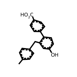 Cc1ccc(Cc2cc(O)ccc2-c2ccc(C(=O)O)cc2)cc1